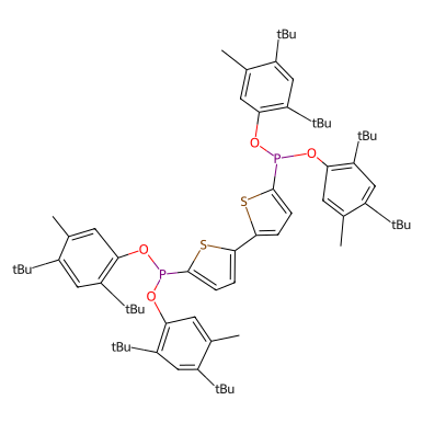 Cc1cc(OP(Oc2cc(C)c(C(C)(C)C)cc2C(C)(C)C)c2ccc(-c3ccc(P(Oc4cc(C)c(C(C)(C)C)cc4C(C)(C)C)Oc4cc(C)c(C(C)(C)C)cc4C(C)(C)C)s3)s2)c(C(C)(C)C)cc1C(C)(C)C